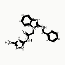 Cc1noc(NC(=O)Cn2c(NCc3ccccc3)nc3ccccc32)n1